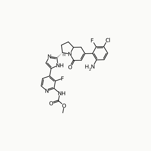 COC(=O)Nc1nccc(-c2cnc([C@@H]3CCC4CC(c5c(N)ccc(Cl)c5F)=CC(=O)N43)[nH]2)c1F